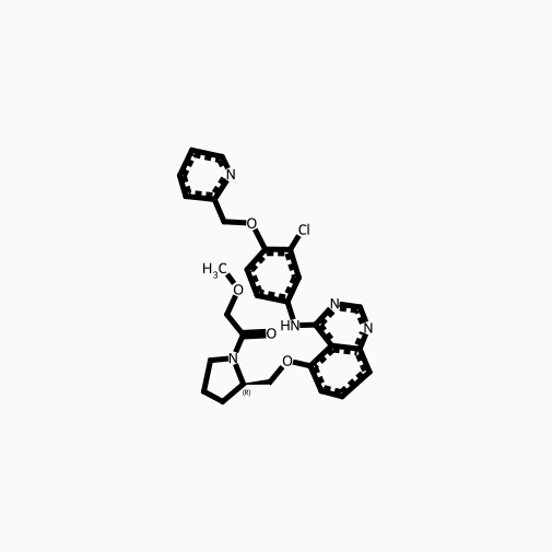 COCC(=O)N1CCC[C@@H]1COc1cccc2ncnc(Nc3ccc(OCc4ccccn4)c(Cl)c3)c12